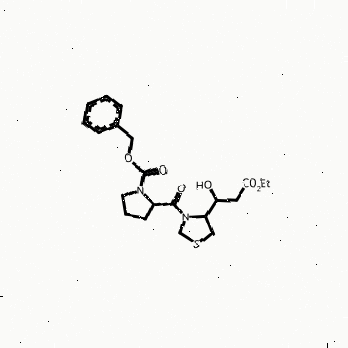 CCOC(=O)CC(O)C1CSCN1C(=O)C1CCCN1C(=O)OCc1ccccc1